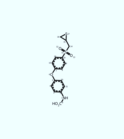 O=C(O)Nc1ccc(Oc2ccc(S(=O)(=O)CC3CS3)cc2)cc1